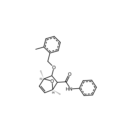 Cc1ccccc1COC1C(C(=O)Nc2ccccc2)[C@@]2(C)C=C[C@]1(C)O2